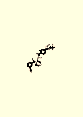 N#Cc1cccc(C(=O)N2CCOC[C@H]2CNC(=O)c2ccc(-c3noc(C(F)(F)F)n3)cc2)c1